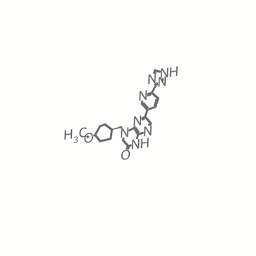 CO[C@H]1CC[C@@H](CN2CC(=O)Nc3ncc(-c4ccc(-c5nc[nH]n5)nc4)nc32)CC1